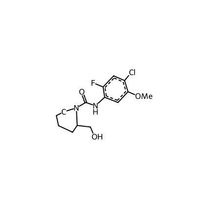 COc1cc(NC(=O)N2CCCCC2CO)c(F)cc1Cl